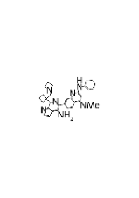 CNc1cc(Nc2ccccc2)nc2cc(C3=NC(C4(CN5CCC5)CCC4)C4=NC=CC4=C3N)ccc12